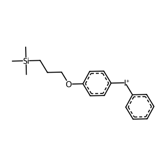 C[Si](C)(C)CCCOc1ccc([I+]c2ccccc2)cc1